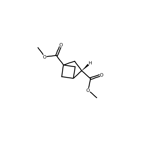 COC(=O)[C@H]1CC2(C(=O)OC)CC1C2